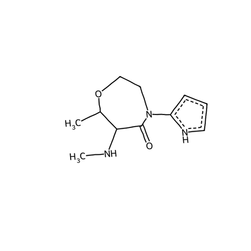 CNC1C(=O)N(c2ccc[nH]2)CCOC1C